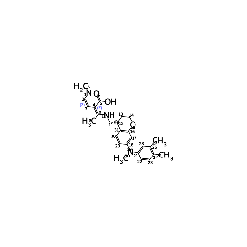 C=N/C=C\C(C(=O)O)=C(/C)NC[C@@H]1CCOc2cc(N(C)c3ccc(C)c(C)c3)ccc21